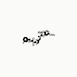 COc1cc(OC(=O)N(C)Cc2csc(NC(=O)NCc3cccc(F)c3)n2)c(OC)nn1